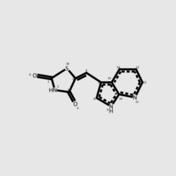 O=C1NC(=O)C(=Cc2c[nH]c3ncccc23)S1